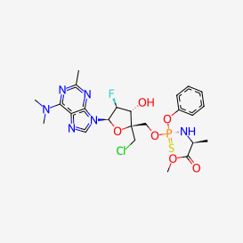 COC(=O)[C@H](C)N[P@](=S)(OC[C@@]1(CCl)O[C@@H](n2cnc3c(N(C)C)nc(C)nc32)[C@@H](F)[C@@H]1O)Oc1ccccc1